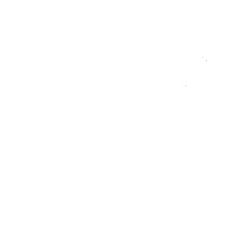 Cc1c(-c2cc3c(s2)CCC(F)(F)C3OP(=O)(Oc2ccccc2)Oc2ccccc2)c(F)cc2c(=O)[nH]c(=O)n(C3CC3)c12